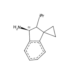 CC(C)C1[C@H](N)c2ccccc2C12CC2